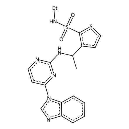 CCNS(=O)(=O)c1sccc1C(C)Nc1nccc(-n2cnc3ccccc32)n1